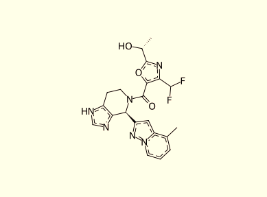 Cc1cccn2nc([C@H]3c4nc[nH]c4CCN3C(=O)c3oc([C@@H](C)O)nc3C(F)F)cc12